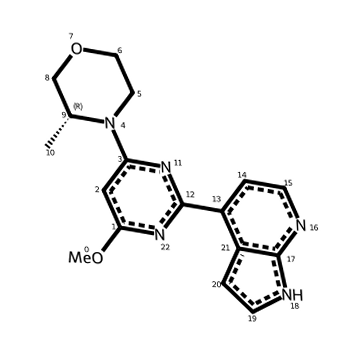 COc1cc(N2CCOC[C@H]2C)nc(-c2ccnc3[nH]ccc23)n1